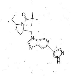 CCC1CCC(Cn2cnc3cc(-c4cn[nH]c4)ccc32)N1C(=O)C(C)(C)C